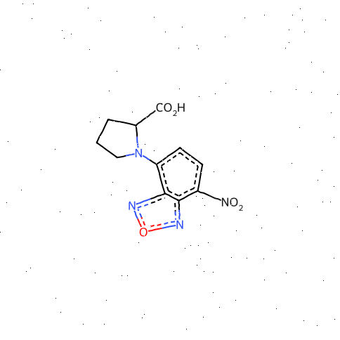 O=C(O)C1CCCN1c1ccc([N+](=O)[O-])c2nonc12